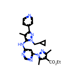 CCOC(=O)c1c(C)nn(-c2cc(Nc3c(C)c(-c4ccncc4)nn3CC3CC3)ncn2)c1C